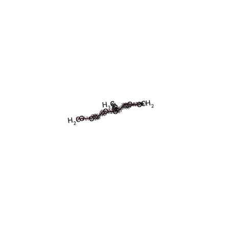 C=CCOCCCCCCOc1ccc2cc(C#Cc3ccc(OCCCCCCOc4ccc(C#Cc5ccc6cc(OCCCCCCOCC=C)ccc6c5)cc4C(=O)OCCC)cc3)ccc2c1